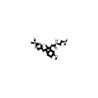 COc1ccc2c(c1)C(CC(=O)NCCN(C)C)=C(C)C2=Cc1cnc(N(C)C)nc1